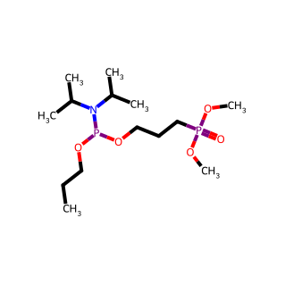 CCCOP(OCCCP(=O)(OC)OC)N(C(C)C)C(C)C